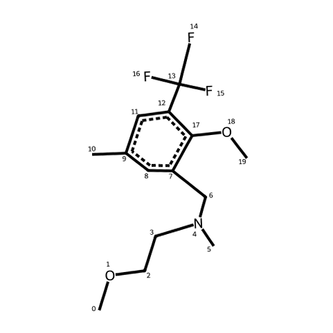 COCCN(C)Cc1cc(C)cc(C(F)(F)F)c1OC